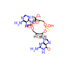 Nc1nc2c(ncn2[C@@H]2O[C@@H]3COP(O)(=S)O[C@H]4[C@H]5OC[C@]4(COP(O)(=S)O[C@@H]2[C@H]3F)O[C@H]5n2cnc3c(N)ncnc32)c(=O)[nH]1